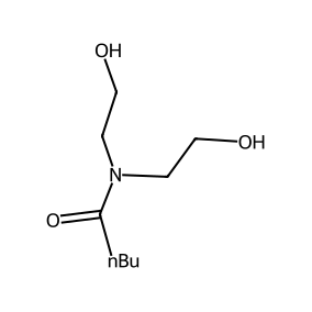 CCCCC(=O)N(CCO)CCO